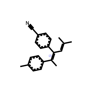 CC(C)=C/C(=C(\C)c1ccc(C)cc1)c1ccc(C#N)cc1